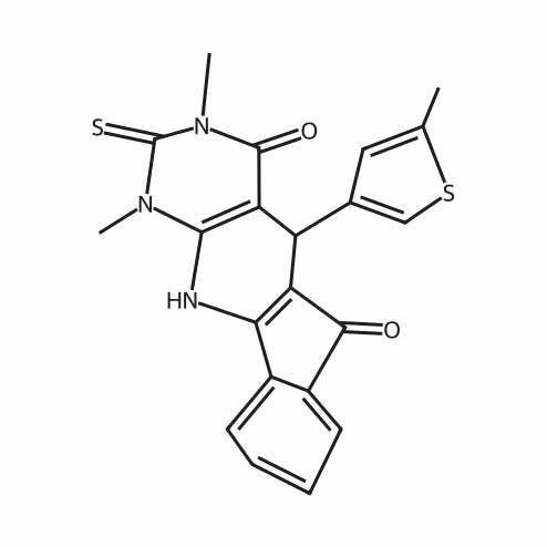 Cc1cc(C2C3=C(Nc4c2c(=O)n(C)c(=S)n4C)c2ccccc2C3=O)cs1